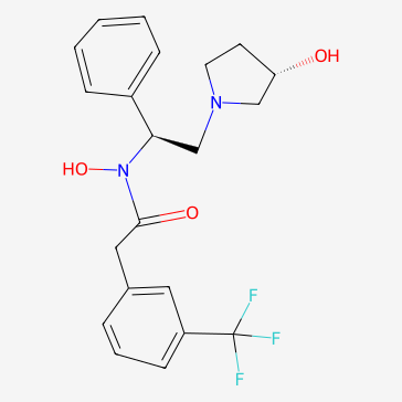 O=C(Cc1cccc(C(F)(F)F)c1)N(O)[C@H](CN1CC[C@H](O)C1)c1ccccc1